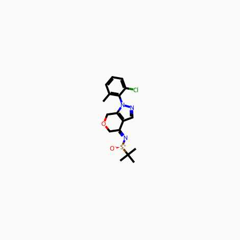 Cc1cccc(Cl)c1-n1ncc2c1COCC2=N[S@@+]([O-])C(C)(C)C